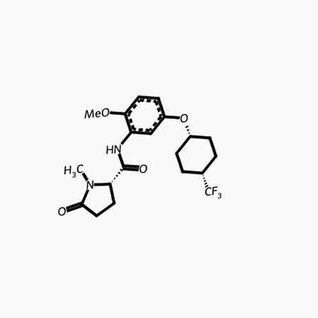 COc1ccc(O[C@H]2CC[C@@H](C(F)(F)F)CC2)cc1NC(=O)[C@@H]1CCC(=O)N1C